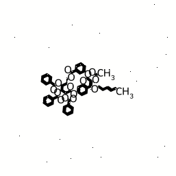 CCC=CCCOc1c(OC(C)=O)c(=O)oc2cc(O[C@@H]3O[C@H](COC(=O)c4ccccc4)[C@H](OC(=O)c4ccccc4)[C@H](OC(=O)c4ccccc4)[C@H]3OC(=O)c3ccccc3)ccc12